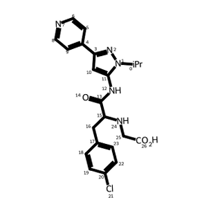 CC(C)n1nc(-c2ccncc2)cc1NC(=O)C(Cc1ccc(Cl)cc1)NCC(=O)O